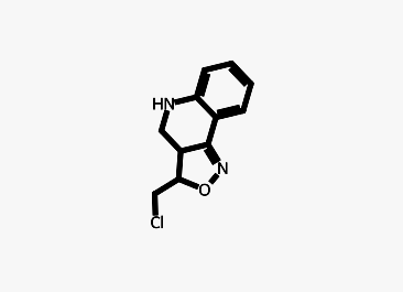 ClCC1ON=C2c3ccccc3NCC21